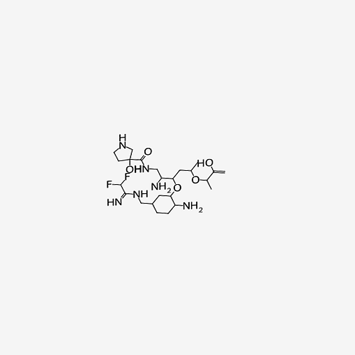 C=C(O)C(C)OC(C)CC(OC1CC(CNC(=N)C(F)F)CCC1N)C(N)CNC(=O)C1(O)CCNC1